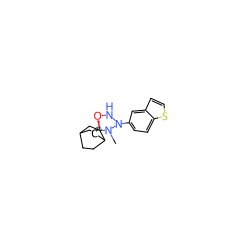 CN1N(c2ccc3sccc3c2)NO[C@@]12CC1CCC2CC1